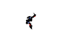 C=C(/C=C\c1oc2ccc(C)cc2c1C)N(c1ccccc1)c1cc2c3ccccc3c(N(C3=CC=CC(C)C3)c3ccc4oc5ccc(C)cc5c4c3)cc2c2ccccc12